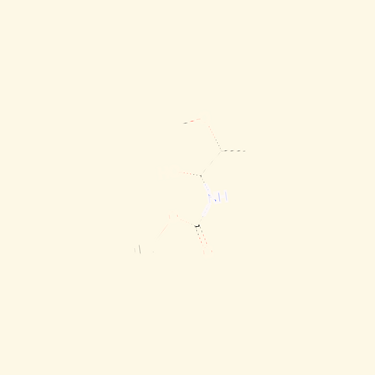 CCOC(C)C(O)NC(=O)OC(C)(C)C